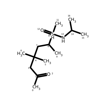 CC(=O)CC(C)(C)CC(C)[SH](C)(=O)NC(C)C